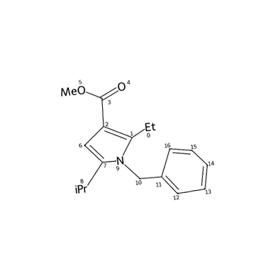 CCc1c(C(=O)OC)cc(C(C)C)n1Cc1ccccc1